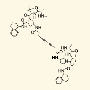 CN[C@@H](C)C(=O)N[C@H](C(=O)N1C[C@@H](NC(=O)CCC#CC#CCCC(=O)N[C@H]2C[C@@H](C(=O)N[C@@H]3CCCc4ccccc43)N(C(=O)[C@@H](NC(=O)[C@H](C)NC)C(C)(C)C)C2)C[C@H]1C(=O)N[C@@H]1CCCc2ccccc21)C(C)(C)C